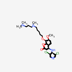 COc1ccc2c(Nc3c(Cl)cncc3Cl)cc(=O)oc2c1OCCCCCN(C)CCCN(C)C